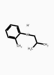 Cc1cccc[c]1[Al+][CH2]C(C)C.[H-]